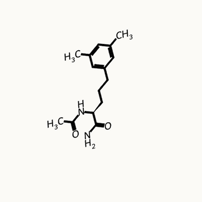 CC(=O)N[C@@H](CCCc1cc(C)cc(C)c1)C(N)=O